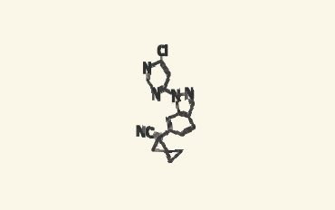 N#C[C@@]1(c2ccc3cnn(-c4cc(Cl)ncn4)c3c2)CC12CC2